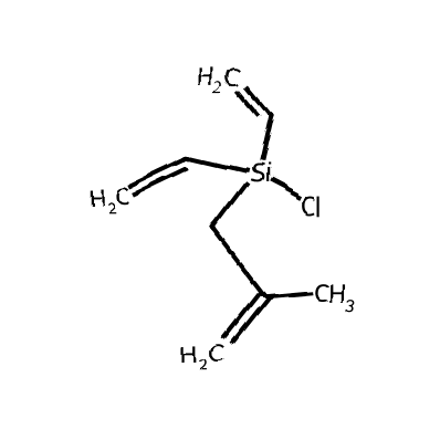 C=C[Si](Cl)(C=C)CC(=C)C